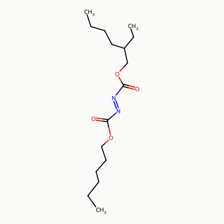 CCCCCCOC(=O)N=NC(=O)OCC(CC)CCCC